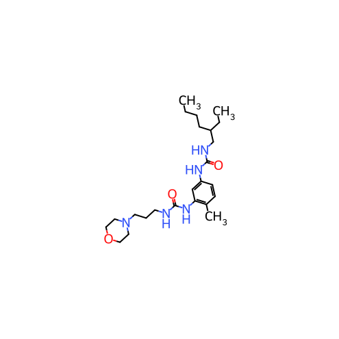 CCCCC(CC)CNC(=O)Nc1ccc(C)c(NC(=O)NCCCN2CCOCC2)c1